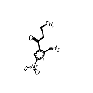 CCCC(=O)c1cc([N+](=O)[O-])sc1N